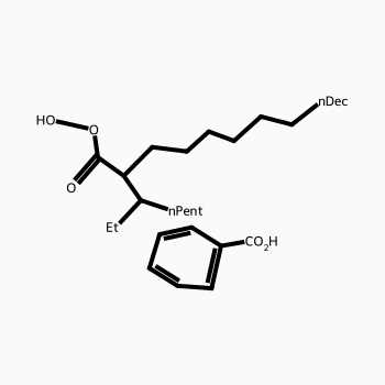 CCCCCCCCCCCCCCCCC(C(=O)OO)C(CC)CCCCC.O=C(O)c1ccccc1